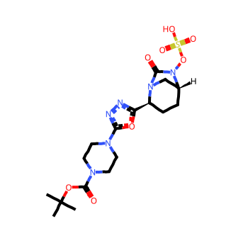 CC(C)(C)OC(=O)N1CCN(c2nnc([C@@H]3CC[C@@H]4CN3C(=O)N4OS(=O)(=O)O)o2)CC1